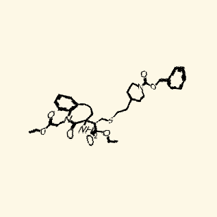 CCOC(=O)CN1C(=O)C(N)([C@@H](CSCCC2CCN(C(=O)OCc3ccccc3)CC2)C(=O)OCC)CCc2ccccc21